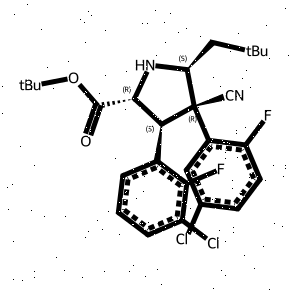 CC(C)(C)C[C@@H]1N[C@@H](C(=O)OC(C)(C)C)[C@H](c2cccc(Cl)c2F)[C@@]1(C#N)c1cc(Cl)ccc1F